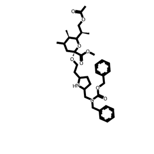 COC(=O)[C@@]1(OCCC2CCC(CN(Cc3ccccc3)C(=O)OCc3ccccc3)N2)CC(C)[C@@H](C)C([C@H](C)COC(C)=O)O1